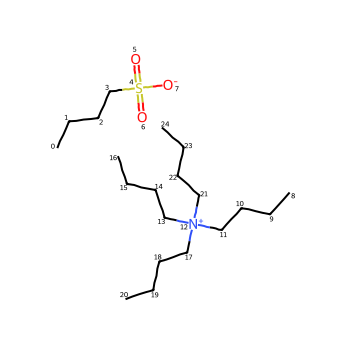 CCCCS(=O)(=O)[O-].CCCC[N+](CCCC)(CCCC)CCCC